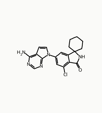 Nc1ncnc2c1ccn2-c1cc(Cl)c2c(c1)C1(CCCCC1)NC2=O